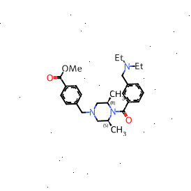 CCN(CC)Cc1cccc(C(=O)N2[C@H](C)CN(Cc3ccc(C(=O)OC)cc3)C[C@@H]2C)c1